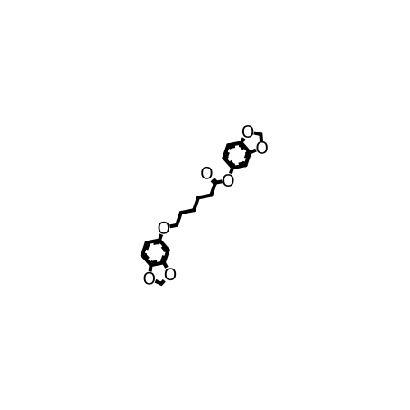 O=C(CCCCCOc1ccc2c(c1)OCO2)Oc1ccc2c(c1)OCO2